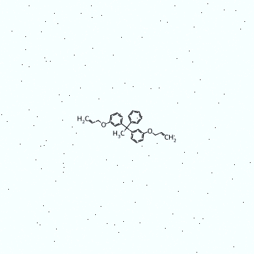 C=CCOc1cccc(C(C)(c2ccccc2)c2cccc(OCC=C)c2)c1